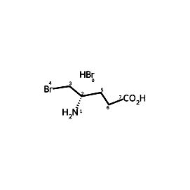 Br.N[C@H](CBr)CCC(=O)O